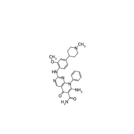 COc1cc(C2CCN(C)CC2)ccc1Nc1ncc2c(=O)c(C(N)=O)c(N)n(-c3ccccc3)c2n1